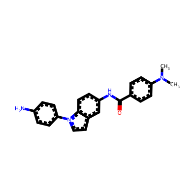 CN(C)c1ccc(C(=O)Nc2ccc3c(ccn3-c3ccc(N)cc3)c2)cc1